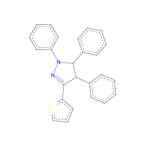 c1ccc(C2C(c3cccs3)=NN(c3ccccc3)C2c2ccccc2)cc1